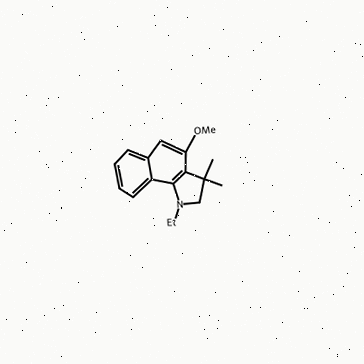 CCN1CC(C)(C)c2c(OC)cc3ccccc3c21